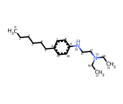 CCCCCCc1ccc(NCCN(CC)CC)cc1